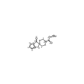 CC(C)(C)OC(=O)N1CCC2(CC1)Cn1cccc1C2=O